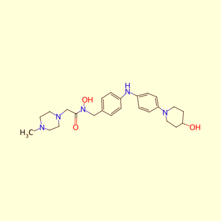 CN1CCN(CC(=O)N(O)Cc2ccc(Nc3ccc(N4CCC(O)CC4)cc3)cc2)CC1